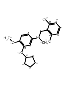 COc1ccc(N(C)Cc2c(Cl)ccnc2Cl)cc1OC1CCCC1